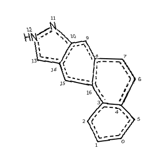 c1ccc2c(c1)ccc1cc3n[nH]cc3cc12